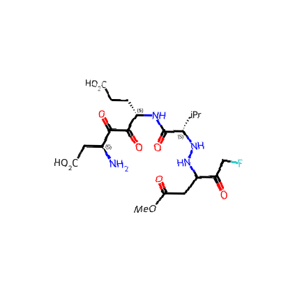 COC(=O)CC(NN[C@H](C(=O)N[C@@H](CCC(=O)O)C(=O)C(=O)[C@@H](N)CC(=O)O)C(C)C)C(=O)CF